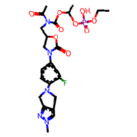 CCOP(=O)(O)OC(C)OC(=O)N(CC1CN(c2ccc(N3Cc4cn(C)nc4C3)c(F)c2)C(=O)O1)C(C)=O